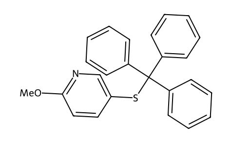 COc1ccc(SC(c2ccccc2)(c2ccccc2)c2ccccc2)cn1